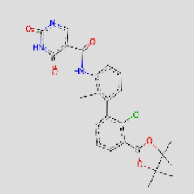 Cc1c(NC(=O)c2cn(C)c(=O)[nH]c2=O)cccc1-c1cccc(B2OC(C)(C)C(C)(C)O2)c1Cl